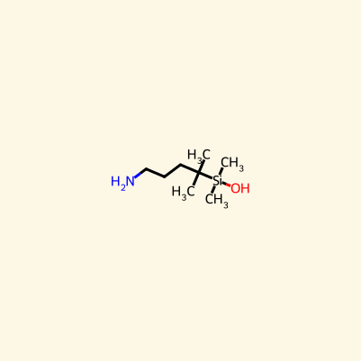 CC(C)(CCCN)[Si](C)(C)O